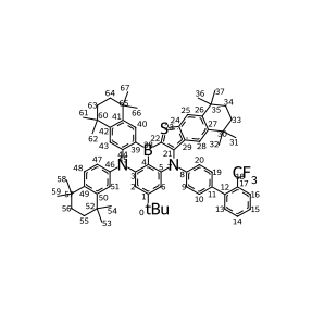 CC(C)(C)c1cc2c3c(c1)N(c1ccc(-c4ccccc4C(F)(F)F)cc1)c1c(sc4cc5c(cc14)C(C)(C)CCC5(C)C)B3c1cc3c(cc1N2c1ccc2c(c1)C(C)(C)CCC2(C)C)C(C)(C)CCC3(C)C